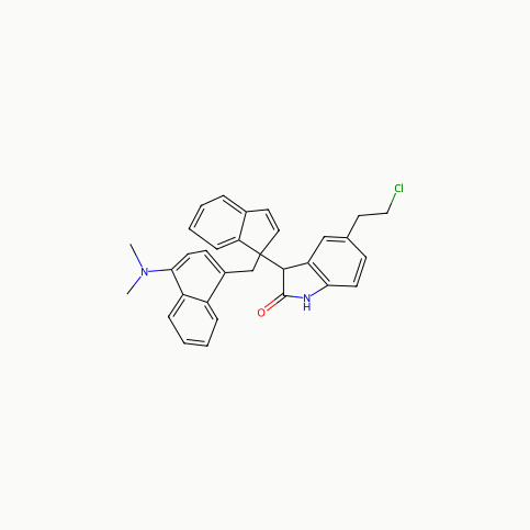 CN(C)c1ccc(CC2(C3C(=O)Nc4ccc(CCCl)cc43)C=Cc3ccccc32)c2ccccc12